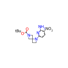 CC(C)(C)OC(=O)N1CC2(CCN2c2ccc([N+](=O)[O-])c(N)n2)C1